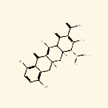 CN(C)[C@@H]1C(O)=C(C(N)=O)C(=O)C2C(O)=C3C(=O)c4c(O)ccc(C#N)c4C[C@H]3C[C@H]21